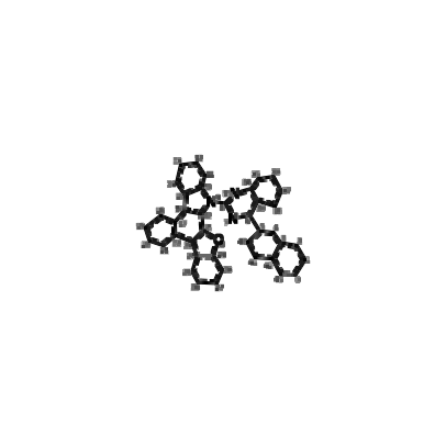 c1ccc2cc(-c3nc(-n4c5ccccc5c5c6ccccc6c6c7ccccc7oc6c54)nc4ccccc34)ccc2c1